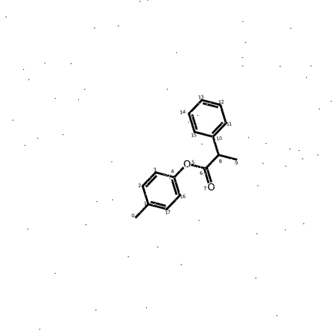 Cc1ccc(OC(=O)C(C)c2ccccc2)cc1